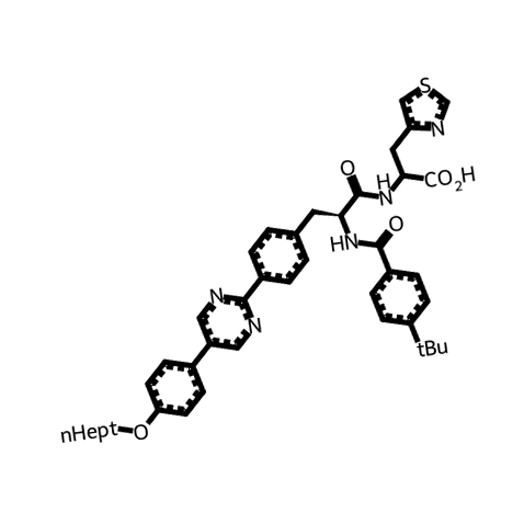 CCCCCCCOc1ccc(-c2cnc(-c3ccc(C[C@H](NC(=O)c4ccc(C(C)(C)C)cc4)C(=O)NC(Cc4cscn4)C(=O)O)cc3)nc2)cc1